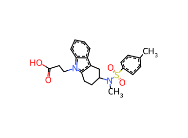 Cc1ccc(S(=O)(=O)N(C)C2CCc3c(c4ccccc4n3CCC(=O)O)C2)cc1